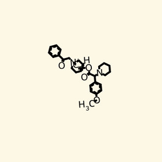 COc1ccc(C(C(=O)O[C@H]2C[N+]3(CC(=O)c4ccccc4)CCC2CC3)N2CCCCC2)cc1